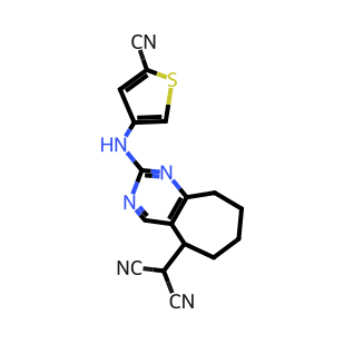 N#Cc1cc(Nc2ncc3c(n2)CCCCC3C(C#N)C#N)cs1